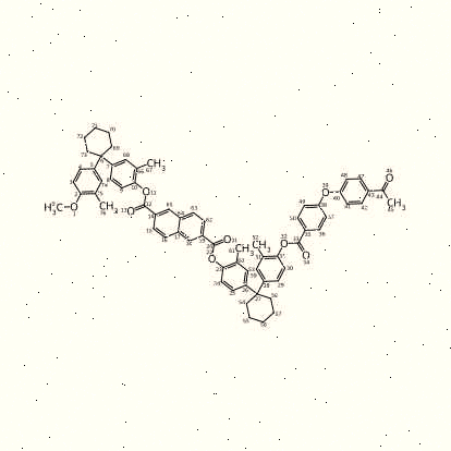 COc1ccc(C2(c3ccc(OC(=O)c4ccc5cc(C(=O)Oc6ccc(C7(c8ccc(OC(=O)c9ccc(Oc%10ccc(C(C)=O)cc%10)cc9)c(C)c8)CCCCC7)cc6C)ccc5c4)c(C)c3)CCCCC2)cc1C